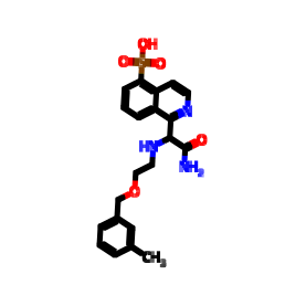 Cc1cccc(COCCNC(C(N)=O)c2nccc3c(S(=O)(=O)O)cccc23)c1